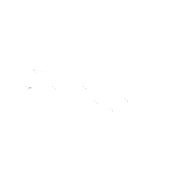 CO[C@@H]1CN(C2CCN(C(=O)c3ncnc(NCc4ccc(Cl)c(Cl)c4)c3C)CC2)CC[C@H]1N(C)S(C)(=O)=O